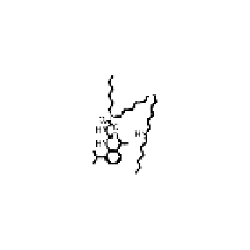 CCCCCCN(CCCCCC)S(=O)(=O)NC(=O)Nc1c(C(C)C)cccc1C(C)C.CCCCCCNCCCCCC